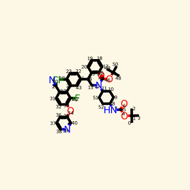 CC(C)(C)OC(=O)NC1CCC(N(CC(c2ccccc2)c2ccc(Cl)c(-c3c(C#N)ccc(Oc4cccnc4)c3F)c2)C(=O)OC(C)(C)C)CC1